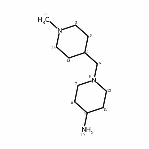 CN1CCC(CN2CCC(N)CC2)CC1